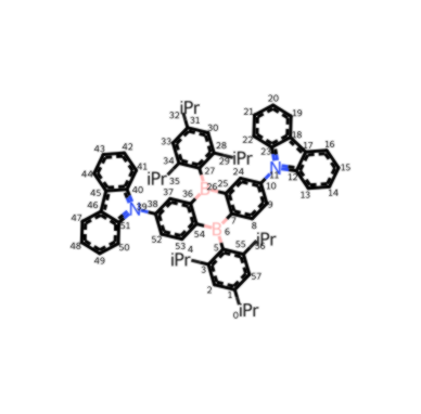 CC(C)c1cc(C(C)C)c(B2c3ccc(-n4c5ccccc5c5ccccc54)cc3B(c3c(C(C)C)cc(C(C)C)cc3C(C)C)c3cc(-n4c5ccccc5c5ccccc54)ccc32)c(C(C)C)c1